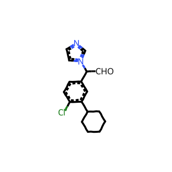 O=CC(c1ccc(Cl)c(C2CCCCC2)c1)n1ccnc1